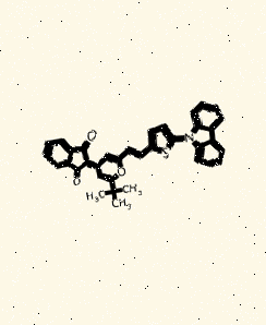 CC(C)(C)C1=CC(=C2C(=O)c3ccccc3C2=O)C=C(C=Cc2ccc(-n3c4ccccc4c4ccccc43)s2)O1